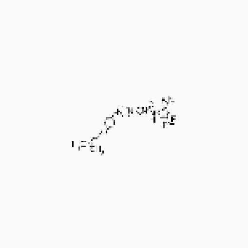 CN(C)CCCOc1ccc(CN2CCN(C3CN(C(=O)Nc4cc(C(F)(F)F)cc(C(F)(F)F)c4)C3)CC2)cc1